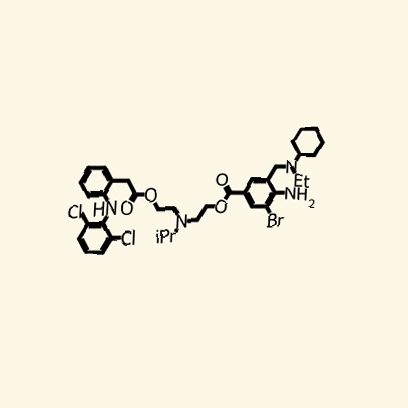 CCN(Cc1cc(C(=O)OCCN(CCOC(=O)Cc2ccccc2Nc2c(Cl)cccc2Cl)C(C)C)cc(Br)c1N)C1CCCCC1